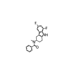 CN(C(=O)c1ccccc1)C1CCc2[nH]c3c(F)cc(F)cc3c2C1